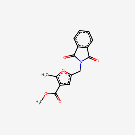 COC(=O)c1cc(CN2C(=O)c3ccccc3C2=O)oc1C